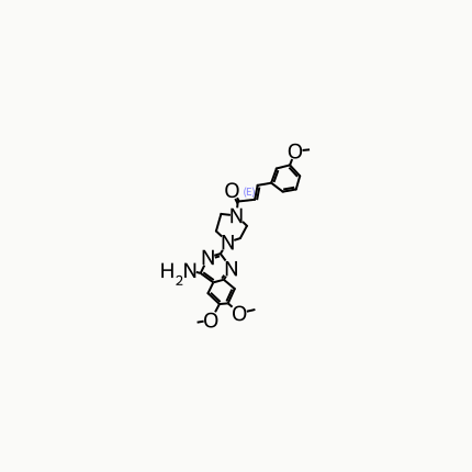 COc1cccc(/C=C/C(=O)N2CCN(c3nc(N)c4cc(OC)c(OC)cc4n3)CC2)c1